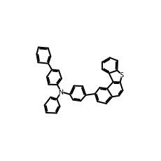 c1ccc(-c2ccc(N(c3ccccc3)c3ccc(-c4ccc5ccc6sc7ccccc7c6c5c4)cc3)cc2)cc1